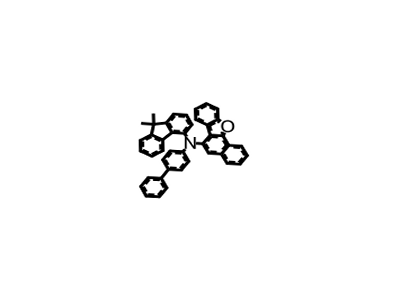 CC1(C)c2ccccc2-c2c(N(c3ccc(-c4ccccc4)cc3)c3cc4ccccc4c4oc5ccccc5c34)cccc21